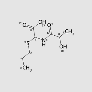 CCCSC(NC(=O)C(C)O)C(=O)O